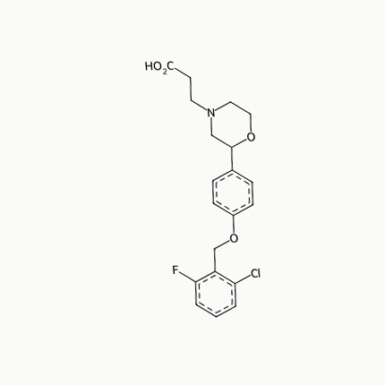 O=C(O)CCN1CCOC(c2ccc(OCc3c(F)cccc3Cl)cc2)C1